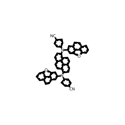 N#Cc1ccc(N(c2cc3ccc4cccc5oc(c2)c3c45)c2ccc3ccc4c(N(c5ccc(C#N)cc5)c5cc6ccc7cccc8oc(c5)c6c78)ccc5ccc2c3c54)cc1